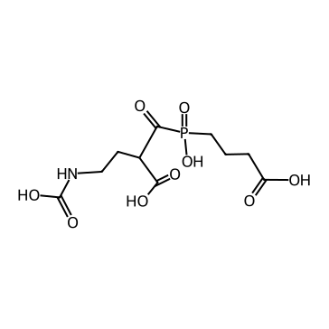 O=C(O)CCCP(=O)(O)C(=O)C(CCNC(=O)O)C(=O)O